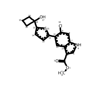 COC(=O)c1c[nH]c2cc(Cl)c(-c3ccc(C4(O)CCC4)s3)cc12